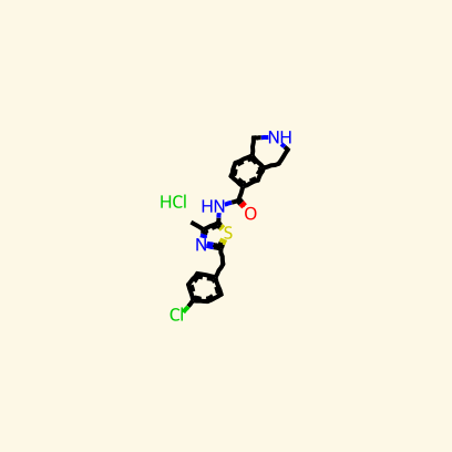 Cc1nc(Cc2ccc(Cl)cc2)sc1NC(=O)c1ccc2c(c1)CCNC2.Cl